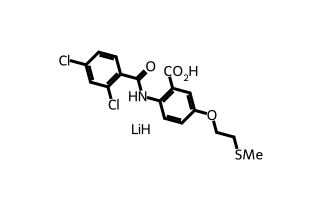 CSCCOc1ccc(NC(=O)c2ccc(Cl)cc2Cl)c(C(=O)O)c1.[LiH]